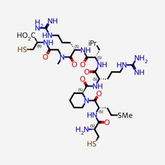 CSCC[C@H](NC(=O)[C@H](N)CS)C(=O)N1CCCC[C@H]1C(=O)N[C@@H](CCCNC(=N)N)C(=O)N[C@@H](CC(C)C)C(=O)N[C@@H](CCCNC(=N)N)C(=O)N(C)CC(=O)N[C@@H](CS)C(=O)O